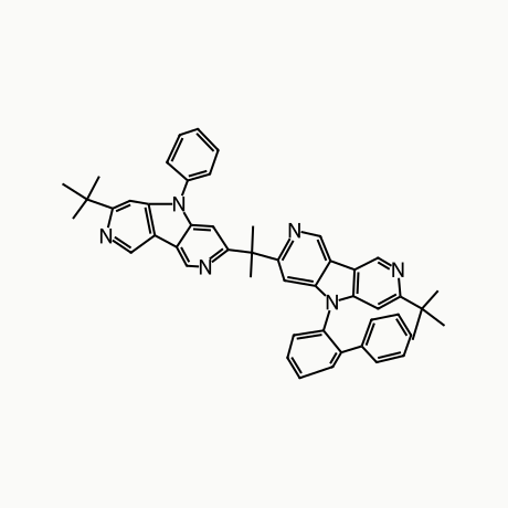 CC(C)(C)c1cc2c(cn1)c1cnc(C(C)(C)c3cc4c(cn3)c3cnc(C(C)(C)C)cc3n4-c3ccccc3-c3ccccc3)cc1n2-c1ccccc1